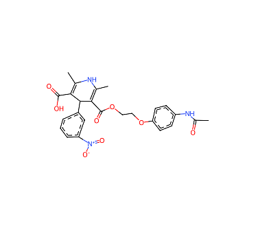 CC(=O)Nc1ccc(OCCOC(=O)C2=C(C)NC(C)=C(C(=O)O)C2c2cccc([N+](=O)[O-])c2)cc1